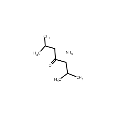 CC(C)CC(=O)CC(C)C.N